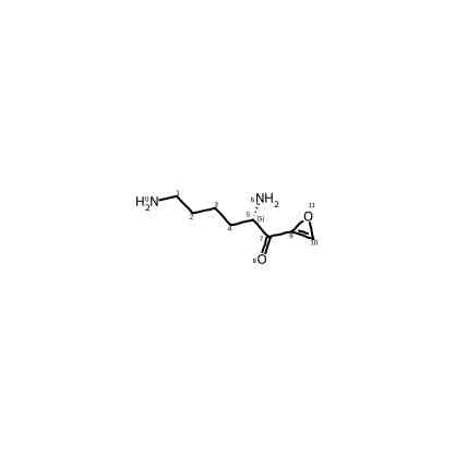 NCCCC[C@H](N)C(=O)C1=CO1